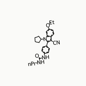 CCCNC(=O)Nc1ccc(-c2c(C#N)c3ccc(OCC)cc3n2C2CCCC2)cc1